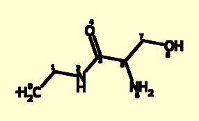 [CH2]CNC(=O)C(N)CO